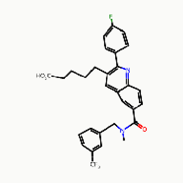 CN(Cc1cccc(C(F)(F)F)c1)C(=O)c1ccc2nc(-c3ccc(F)cc3)c(CCCCC(=O)O)cc2c1